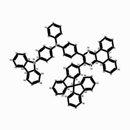 c1ccc(N(c2ccc(-c3nc4c5ccccc5c5ccccc5c4nc3-c3ccc4c(c3)C3(c5ccccc5-c5ccccc53)c3ccccc3-4)cc2)c2ccc(-n3c4ccccc4c4ccccc43)cc2)cc1